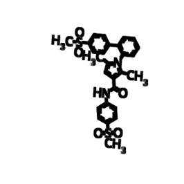 Cc1cc(C(=O)Nc2ccc(S(C)(=O)=O)cc2)c(C)n1-c1ccccc1-c1ccc(S(C)(=O)=O)cc1